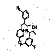 CC(O)C(NC(C)C(Cc1ccc(Cl)cc1)c1cccc(C#N)c1)c1cc(F)cc(F)c1